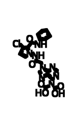 O=C(Cn1cnc2c(N(C(=O)O)C(=O)O)ncnc21)Nn1ccc(Cl)c1C(=O)Nc1ccccc1